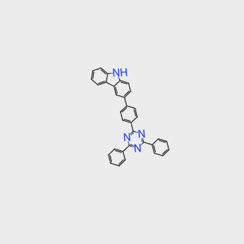 c1ccc(-c2nc(-c3ccccc3)nc(-c3ccc(-c4ccc5[nH]c6ccccc6c5c4)cc3)n2)cc1